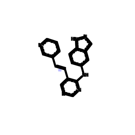 C(=C\c1cncnc1Nc1ccc2[nH]ncc2c1)/c1cccnc1